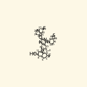 CCc1c(F)ccc2cc(O)cc(N3CCc4c(nc(OC[C@@]56CCCN5C[C@H](F)C6)nc4N4CCCC5(CSC5)C4)C3)c12